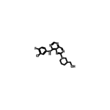 OCC1CCCN(c2ncc3ncnc(Nc4ccc(F)c(Cl)c4)c3n2)C1